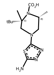 C[C@@H]1CN(c2nnc(N)s2)C[C@](C)(C(C)(C)C)N1C(=O)O